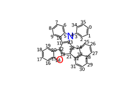 c1ccc(-n2c3ccccc3c3c4c(oc5ccccc54)c4c(c32)-c2cccc3cccc-4c23)cc1